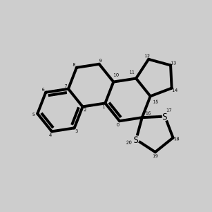 C1=C2c3ccccc3CCC2C2CCCC2C12SCCS2